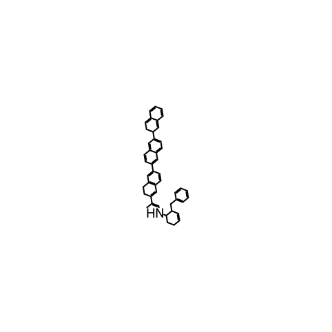 CC(=CNC1CCC=CC1Cc1ccccc1)C1=Cc2ccc(-c3ccc4cc(C5C=c6ccccc6=CC5)ccc4c3)cc2CC1